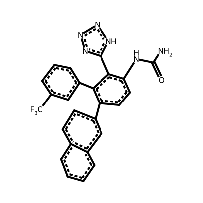 NC(=O)Nc1ccc(-c2ccc3ccccc3c2)c(-c2cccc(C(F)(F)F)c2)c1-c1nnn[nH]1